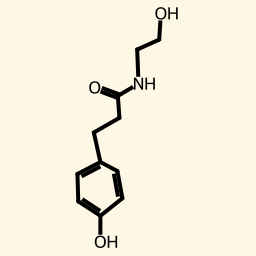 O=C(CCc1ccc(O)cc1)NCCO